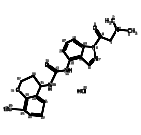 CN(C)CC(=O)n1ncc2c(NC(=O)NC3CCOc4c3cccc4C(C)(C)C)cccc21.Cl